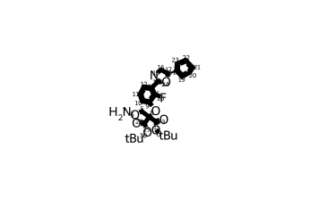 CC(C)(C)OC(=O)C(CON)(Oc1cccc(C2=NC[C@@H](c3ccccc3)O2)c1F)C(=O)OC(C)(C)C